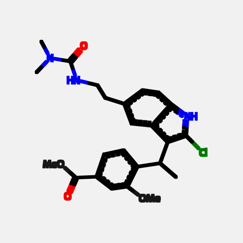 COC(=O)c1ccc(C(C)c2c(Cl)[nH]c3ccc(CCNC(=O)N(C)C)cc23)c(OC)c1